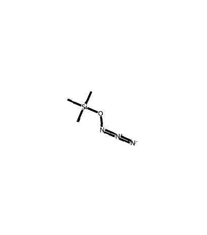 C[Si](C)(C)ON=[N+]=[N-]